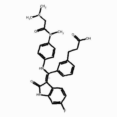 CN(C)CC(=O)N(C)c1ccc(N/C(=C2\C(=O)Nc3cc(F)ccc32)c2cccc(CCC(=O)O)c2)cc1